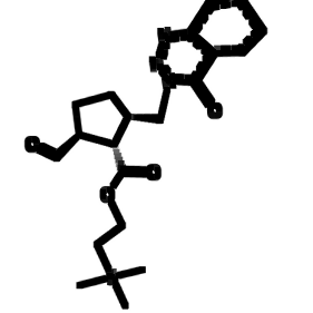 CS(C)(C)CCOC(=O)[C@H]1[C@H](Cn2nnc3ccccc3c2=O)CC[C@@H]1C=O